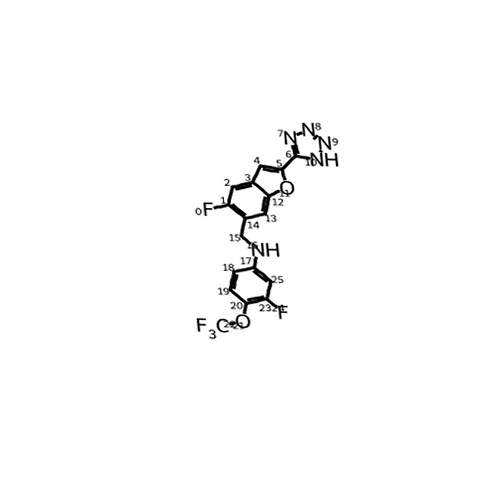 Fc1cc2cc(-c3nnn[nH]3)oc2cc1CNc1ccc(OC(F)(F)F)c(F)c1